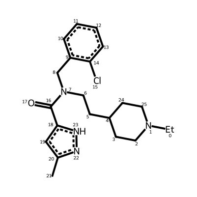 CCN1CCC(CCN(Cc2ccccc2Cl)C(=O)c2cc(C)n[nH]2)CC1